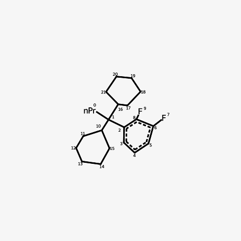 CCCC(c1cccc(F)c1F)(C1CCCCC1)C1CCCCC1